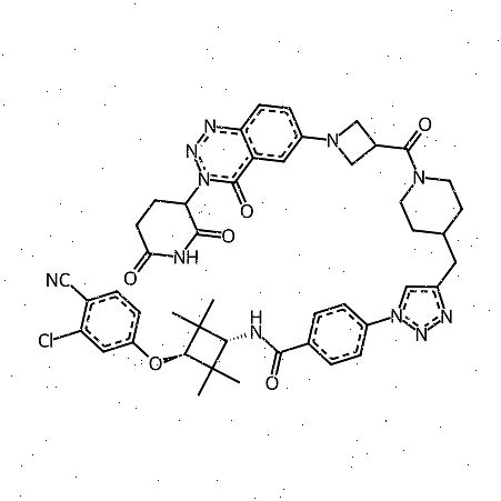 CC1(C)[C@H](NC(=O)c2ccc(-n3cc(CC4CCN(C(=O)C5CN(c6ccc7nnn(C8CCC(=O)NC8=O)c(=O)c7c6)C5)CC4)nn3)cc2)C(C)(C)[C@H]1Oc1ccc(C#N)c(Cl)c1